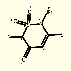 CC1=CC(=O)C(C)S(=O)(=O)N1C(C)C